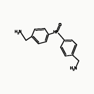 NCc1ccc([PH](=O)c2ccc(CN)cc2)cc1